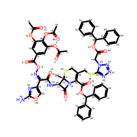 CC(=O)Oc1cc(C(=O)O/N=C(\C(=O)N[C@@H]2C(=O)N3C(C(=O)OC(c4ccccc4)c4ccccc4)=C(CSc4nnnn4CC(=O)OC(c4ccccc4)c4ccccc4)CS[C@@H]23)c2coc(N)n2)cc(OC(C)=O)c1OC(C)=O